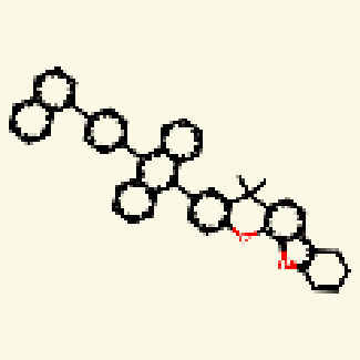 CC1(C)c2cc(-c3c4ccccc4c(-c4ccc(-c5cccc6ccccc56)cc4)c4ccccc34)ccc2Oc2c1ccc1c3c(oc21)C=CCC3